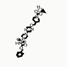 CC1(OC(=O)N2CCC(COc3cnc(N4CCN(S(=O)(=O)NC(=O)OCc5ccccc5)CC4)cn3)CC2)CC1